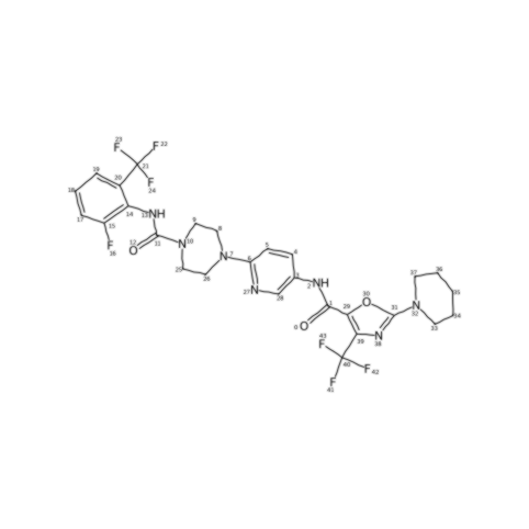 O=C(Nc1ccc(N2CCN(C(=O)Nc3c(F)cccc3C(F)(F)F)CC2)nc1)c1oc(N2CCCCC2)nc1C(F)(F)F